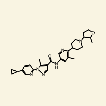 Cc1cc(NC(=O)c2cnn(-c3ccc(C4CC4)cn3)c2C)cnc1C1CCN(C2CCOC2C)CC1